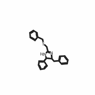 c1ccc(CSCC2=NC(Cc3ccccc3)C(c3ccccc3)N2)cc1